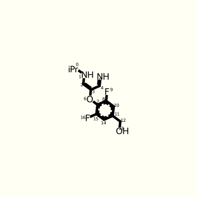 CC(C)N/C=C(\C=N)Oc1c(F)cc(CO)cc1F